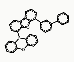 c1ccc(-c2cccc(-c3cccc4c3oc3c(B5c6ccccc6Oc6ccccc65)cccc34)c2)cc1